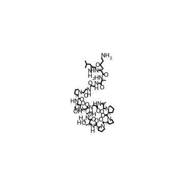 CC(C)C[C@H](N)C(=O)N[C@@H](CCCCN)C(=O)N[C@@H](C)C(=O)NCC(=O)NCC(=O)N1CCC[C@H]1C(=O)N[C@@H](CO)C(=O)N[C@@H](CO)C(=O)NCC(=O)N[C@@H](C)C(=O)N1CCC[C@H]1C(=O)N1CCC[C@H]1C(=O)N1CCC[C@H]1C(=O)N[C@@H](CO)C(N)=O